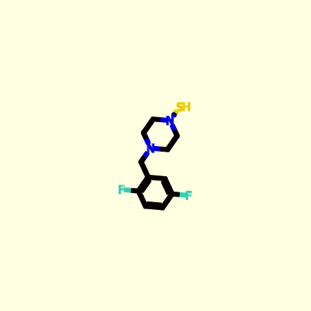 Fc1ccc(F)c(CN2CCN(S)CC2)c1